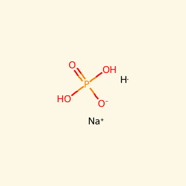 O=P([O-])(O)O.[H].[Na+]